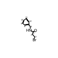 O=C(CCBr)NCc1ccccc1